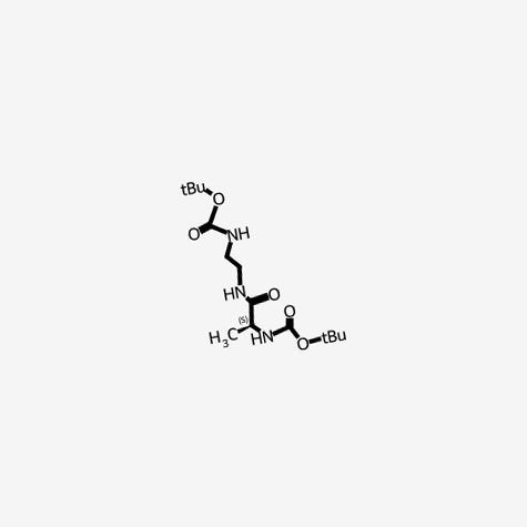 C[C@H](NC(=O)OC(C)(C)C)C(=O)NCCNC(=O)OC(C)(C)C